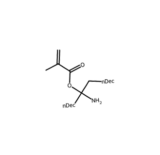 C=C(C)C(=O)OC(N)(CCCCCCCCCC)CCCCCCCCCCC